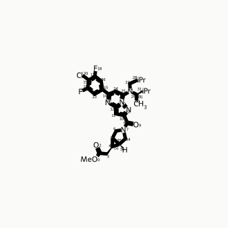 COC(=O)C[C@H]1C2CN(C(=O)c3cc4nc(-c5cc(F)c(Cl)c(F)c5)cc(N(CC(C)C)[C@H](C)C(C)C)n4n3)C[C@H]21